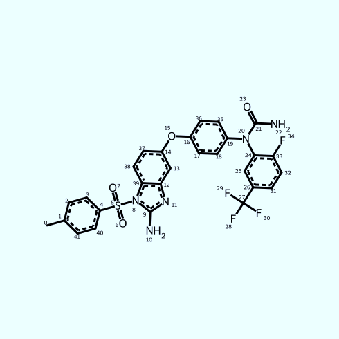 Cc1ccc(S(=O)(=O)n2c(N)nc3cc(Oc4ccc(N(C(N)=O)c5cc(C(F)(F)F)ccc5F)cc4)ccc32)cc1